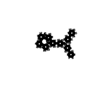 c1ccc(-c2ccc(N(c3ccc(-c4ccccc4)cc3)c3ccc(-c4ccc5c(c4)c4ccc6sc7cccc8c9ccccc9c9ccccc9n5c4c6c78)cc3)cc2)cc1